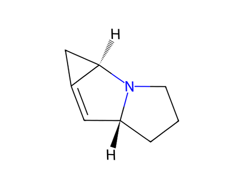 C1=C2C[C@H]2N2CCC[C@H]12